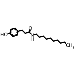 CCCCCCCCCCNC(=O)CCc1ccc(O)cc1